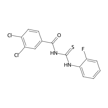 O=C(NC(=S)Nc1ccccc1F)c1ccc(Cl)c(Cl)c1